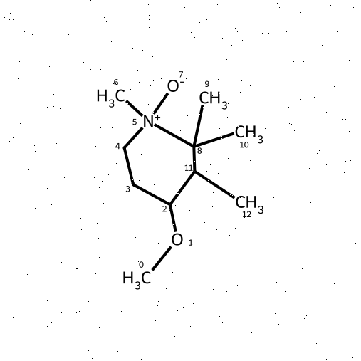 COC1CC[N+](C)([O-])C(C)(C)C1C